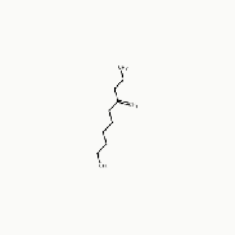 [CH2]CCC(=C)CCCCCC